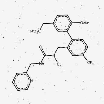 CCN(Cc1cc(C(F)(F)F)ccc1-c1cc(CC(=O)O)ccc1OC)C(=O)NCc1ccccn1